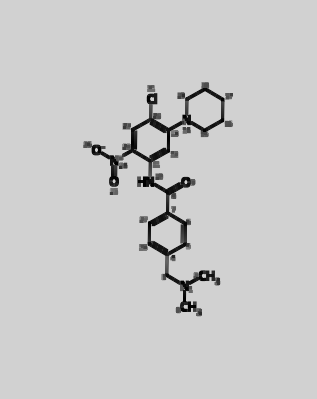 CN(C)Cc1ccc(C(=O)Nc2cc(N3CCCCC3)c(Cl)cc2[N+](=O)[O-])cc1